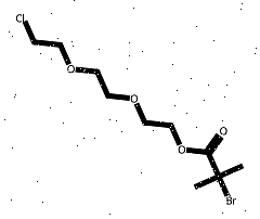 CC(C)(Br)C(=O)OCCOCCOCCCl